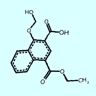 CCOC(=O)c1cc(C(=O)O)c(OCO)c2ccccc12